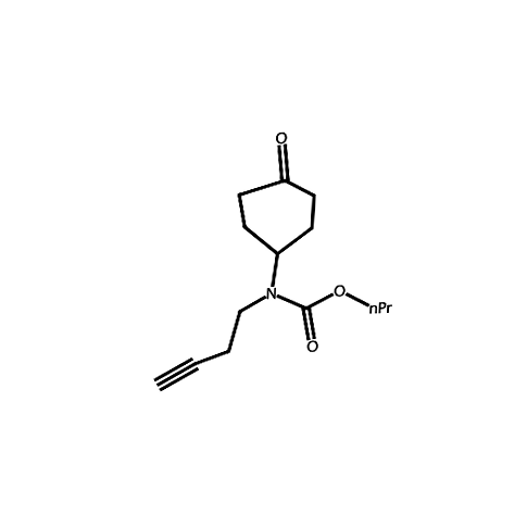 C#CCCN(C(=O)OCCC)C1CCC(=O)CC1